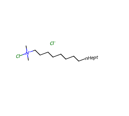 CCCCCCCCCCCCCCC[N+](C)(C)Cl.[Cl-]